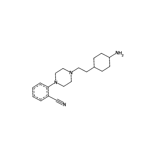 N#Cc1ccccc1N1CCN(CCC2CCC(N)CC2)CC1